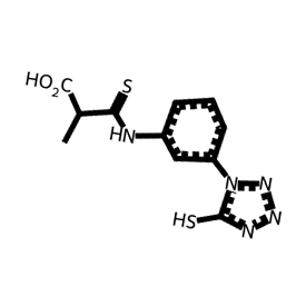 CC(C(=O)O)C(=S)Nc1cccc(-n2nnnc2S)c1